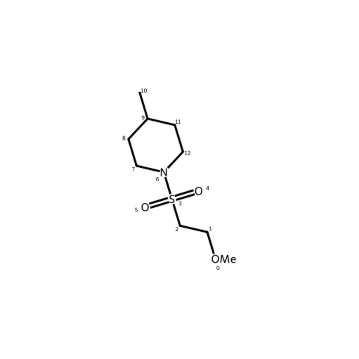 COCCS(=O)(=O)N1CCC(C)CC1